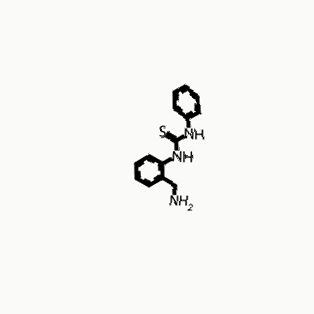 NCc1ccccc1NC(=S)Nc1ccccc1